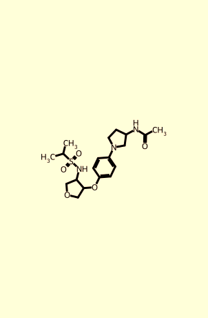 CC(=O)NC1CCN(c2ccc(OC3COCC3NS(=O)(=O)C(C)C)cc2)C1